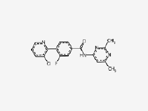 Cc1cc(NC(=O)c2ccc(-c3ncccc3Cl)c(F)c2)nc(C)n1